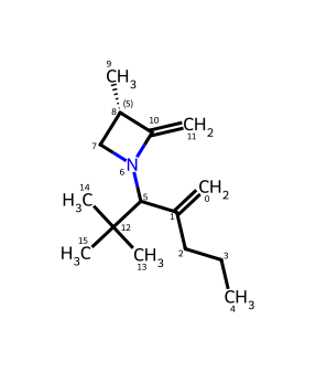 C=C(CCC)C(N1C[C@H](C)C1=C)C(C)(C)C